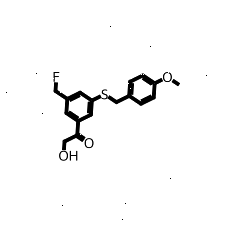 COc1ccc(CSc2cc(CF)cc(C(=O)CO)c2)cc1